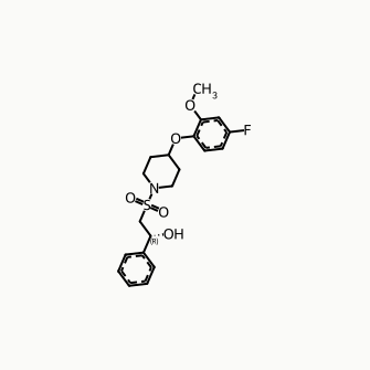 COc1cc(F)ccc1OC1CCN(S(=O)(=O)C[C@H](O)c2ccccc2)CC1